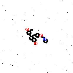 CCc1cc(-c2ccc3cc(OC)ccc3c2Cc2ccc(OCCN3CCCCC3)cc2)ccc1OC